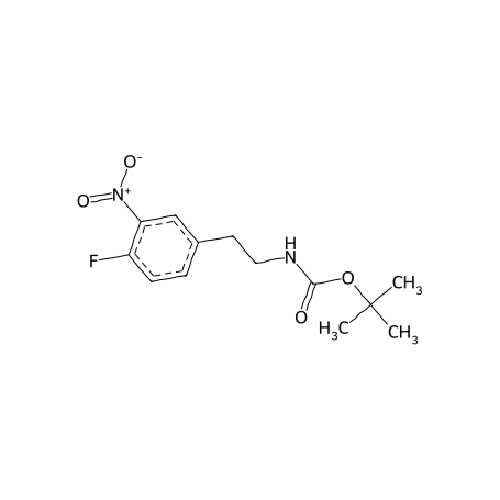 CC(C)(C)OC(=O)NCCc1ccc(F)c([N+](=O)[O-])c1